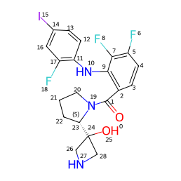 O=C(c1ccc(F)c(F)c1Nc1ccc(I)cc1F)N1CCC[C@H]1C1(O)CNC1